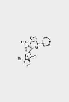 CCC1(CC)CCCN1C(=O)c1cnn2c1N[C@@H](c1ccccc1)CC2(C)C